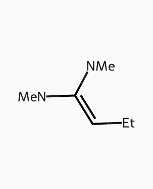 CCC=C(NC)NC